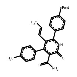 C/C=C/c1c(-c2ccc(CCCCC)cc2)[nH]c(=O)c(C(N)=O)c1-c1ccc(C)cc1